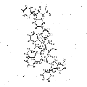 CC1CCC2(C)C1c1cc(-c3ccc4c(c3)C3(c5cc(-c6ccc7c(c6)C6C(C)CCC6(C)N7c6ccccc6)ccc5-4)c4ccccc4-c4c3cc3ccc5cccc6ccc4c3c56)ccc1N2c1ccccc1